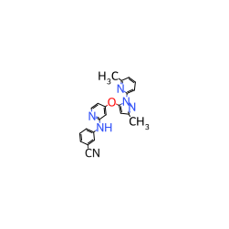 Cc1cccc(-n2nc(C)cc2Oc2ccnc(Nc3cccc(C#N)c3)c2)n1